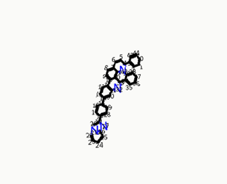 c1ccc(-c2ccc3ccc4c5ccc(-c6ccc(-c7cn8ccccc8n7)cc6)cc5nc(-c5ccccc5)c4c3n2)cc1